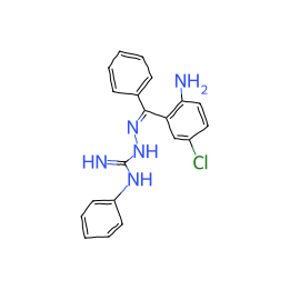 N=C(N/N=C(/c1ccccc1)c1cc(Cl)ccc1N)Nc1ccccc1